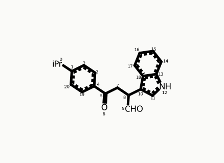 CC(C)c1ccc(C(=O)CC(C=O)c2c[nH]c3ccccc23)cc1